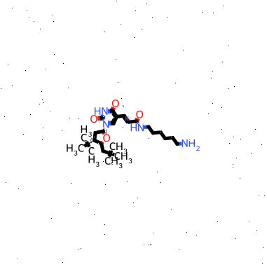 CC(C)(C)CC1O[C@@H](n2cc(/C=C/C(=O)NCCCCCCN)c(=O)[nH]c2=O)C[C@H]1C(C)(C)C